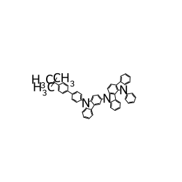 CC(C)(C)c1ccc(-c2ccc(-n3c4ccccc4c4cc(-n5c6ccccc6c6c5ccc5c7ccccc7n(-c7ccccc7)c56)ccc43)cc2)cc1